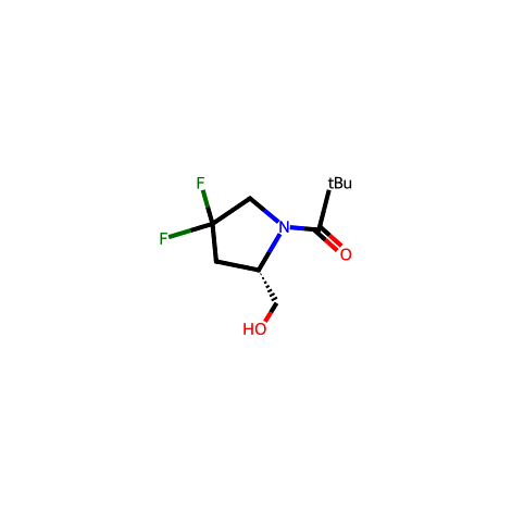 CC(C)(C)C(=O)N1CC(F)(F)C[C@H]1CO